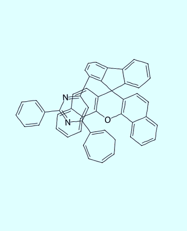 C1=CCC=C(c2cc(-c3cccc4c3C3(c5ccccc5-4)c4ccc5ccccc5c4Oc4c3ccc3ccccc43)nc(-c3ccccc3)n2)C=C1